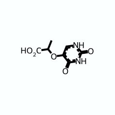 CC(Oc1c[nH]c(=O)[nH]c1=O)C(=O)O